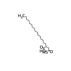 CCCCCCCCCCCCCCCCC(CC(=O)S)C(=O)O